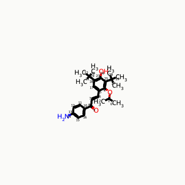 CC(C)Oc1c(C=CC(=O)c2ccc(N)cc2)cc(C(C)(C)C)c(O)c1C(C)(C)C